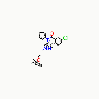 CC(C)(C)[Si](C)(C)OCCCNCCN(C(=O)c1cc(Cl)ccc1C#N)c1ccccc1